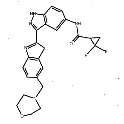 O=C(Nc1ccc2[nH]nc(C3=Nc4ccc(CN5CCOCC5)cc4C3)c2c1)C1CC1(F)F